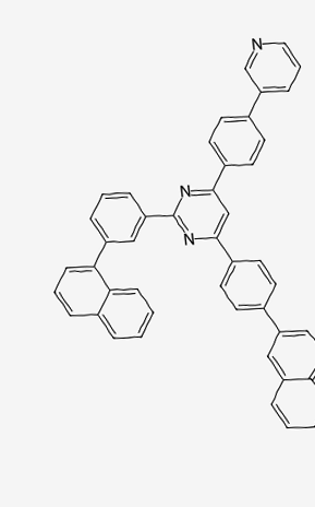 C=C1CCC=C/C1=C/C(=C\C)c1ccc(-c2cc(-c3ccc(-c4cccnc4)cc3)nc(-c3cccc(-c4cccc5ccccc45)c3)n2)cc1